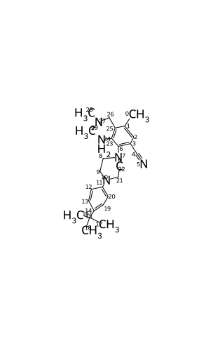 Cc1cc(C#N)c(N2CCN(c3ccc(C(C)(C)C)cc3)CC2)c(N)c1CN(C)C